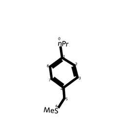 CCCc1ccc(CSC)cc1